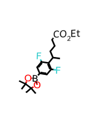 CCOC(=O)CCCC(C)c1c(F)cc(B2OC(C)(C)C(C)(C)O2)cc1F